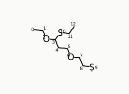 CCOC(CCOCC[S])SCC